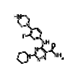 NC(=O)c1nnc(N2CCCCC2)nc1Nc1ccc(N2CCNCC2)c(F)c1